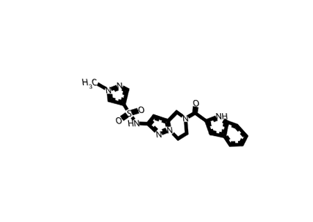 Cn1cc(S(=O)(=O)Nc2cc3n(n2)CCN(C(=O)c2cc4ccccc4[nH]2)C3)cn1